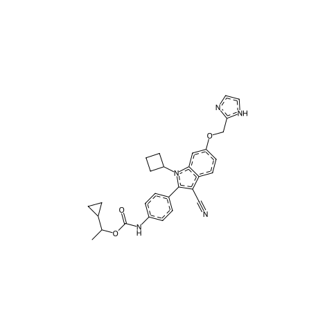 CC(OC(=O)Nc1ccc(-c2c(C#N)c3ccc(OCc4ncc[nH]4)cc3n2C2CCC2)cc1)C1CC1